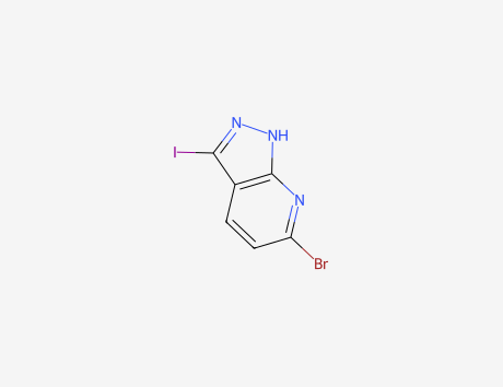 Brc1ccc2c(I)n[nH]c2n1